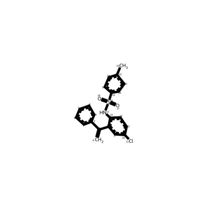 C=C(c1ccccc1)c1cc(Cl)ccc1NS(=O)(=O)c1ccc(C)cc1